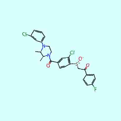 CC1C(C)N(c2cccc(Cl)c2)CCN1C(=O)c1ccc([S+]([O-])CC(=O)c2ccc(F)cc2)c(Cl)c1